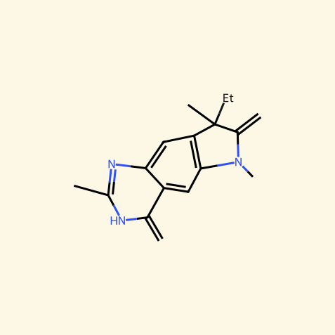 C=C1NC(C)=Nc2cc3c(cc21)N(C)C(=C)C3(C)CC